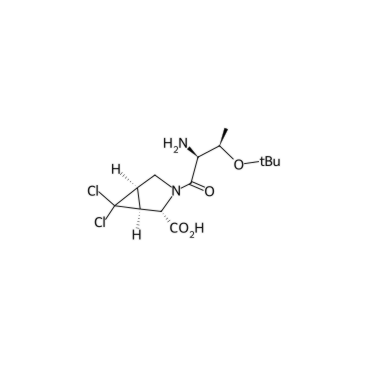 C[C@@H](OC(C)(C)C)[C@H](N)C(=O)N1C[C@H]2[C@@H]([C@H]1C(=O)O)C2(Cl)Cl